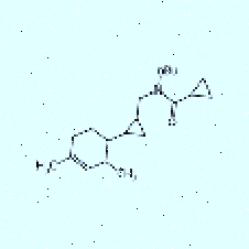 CCCCN(CC1CC1C1CCC(C)=CC1C)C(=O)C1CC1